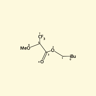 CCC(C)COC(=O)C(OC)C(F)(F)F